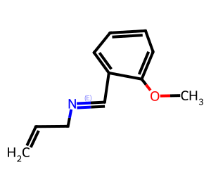 C=CC/N=C/c1ccccc1OC